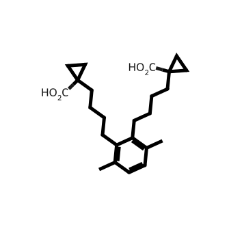 Cc1ccc(C)c(CCCCC2(C(=O)O)CC2)c1CCCCC1(C(=O)O)CC1